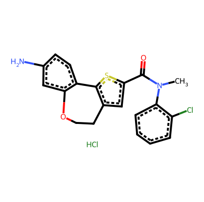 CN(C(=O)c1cc2c(s1)-c1ccc(N)cc1OCC2)c1ccccc1Cl.Cl